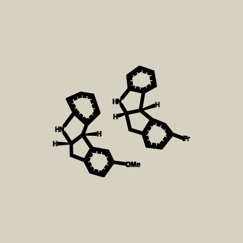 CC(C)c1ccc2c(c1)[C@H]1c3ccccc3N[C@H]1C2.COc1ccc2c(c1)[C@H]1c3ccccc3N[C@H]1C2